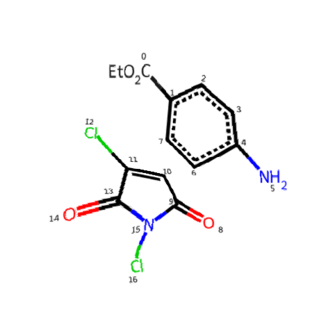 CCOC(=O)c1ccc(N)cc1.O=C1C=C(Cl)C(=O)N1Cl